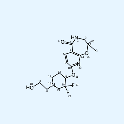 CC1(C)CNC(=O)c2ccc(OC3CCN(CCO)CC3(F)F)nc2O1